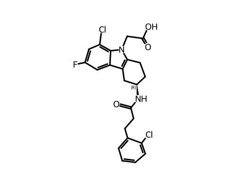 O=C(O)Cn1c2c(c3cc(F)cc(Cl)c31)C[C@H](NC(=O)CCc1ccccc1Cl)CC2